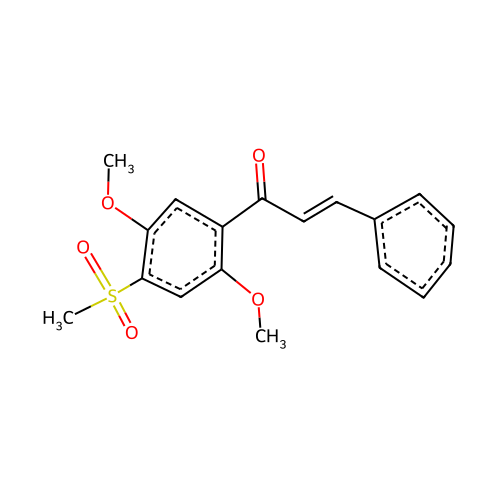 COc1cc(S(C)(=O)=O)c(OC)cc1C(=O)C=Cc1ccccc1